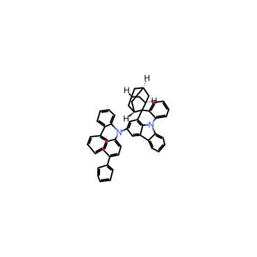 c1ccc(-c2ccc(N(c3cc4c5c(c3)c3ccccc3n5-c3ccccc3C43[C@H]4C[C@H]5C[C@H](C[C@H]3C5)C4)c3ccccc3-c3ccccc3)cc2)cc1